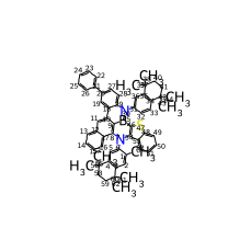 Cc1cc2c(cc1N1c3c4c(cc5ccccc35)-c3cc(-c5ccccc5)ccc3N(c3ccc5c(c3)C(C)(C)CCC5(C)C)B4c3sc4ccccc4c31)C(C)(C)CCC2(C)C